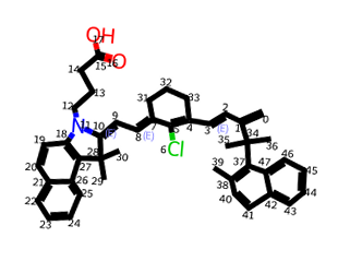 C=C(/C=C/C1=C(Cl)C(=C/C=C2/N(CCCC(=O)O)c3ccc4ccccc4c3C2(C)C)/CCC1)C(C)(C)c1c(C)ccc2ccccc12